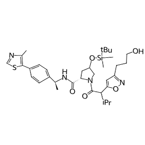 Cc1ncsc1-c1ccc([C@H](C)NC(=O)[C@@H]2CC(O[Si](C)(C)C(C)(C)C)CN2C(=O)C(c2cc(CCCO)no2)C(C)C)cc1